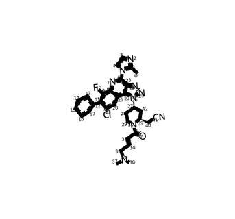 Cc1nccn1-c1nc2c(F)c(-c3ccccc3)c(Cl)cc2c2c1nnn2[C@H]1CCN(C(=O)/C=C/CN(C)C)[C@H](CC#N)C1